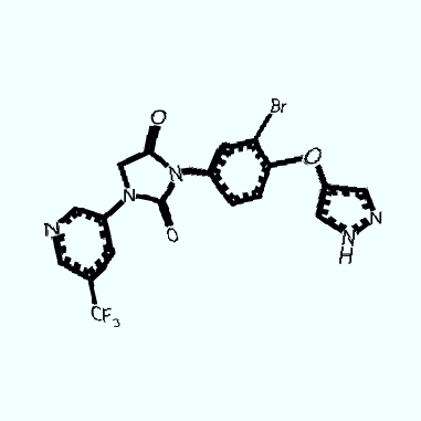 O=C1CN(c2cncc(C(F)(F)F)c2)C(=O)N1c1ccc(Oc2cn[nH]c2)c(Br)c1